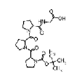 CC(C)(C)OC(=O)N1CCCC1C(=O)N1CCCC1C(=O)N1CCCC1C(=O)NCC(=O)O